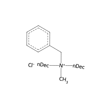 CCCCCCCCCC[N+](C)(CCCCCCCCCC)Cc1ccccc1.[Cl-]